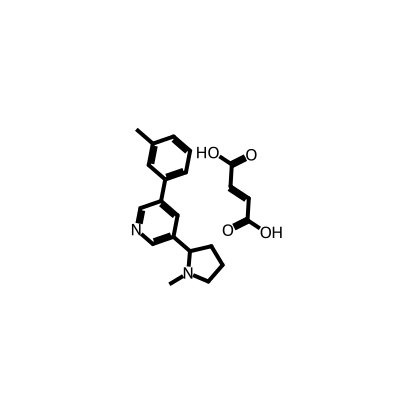 Cc1cccc(-c2cncc(C3CCCN3C)c2)c1.O=C(O)C=CC(=O)O